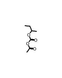 CCC(C)OC(=O)OC(C)=O